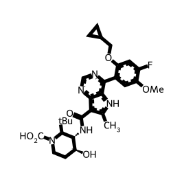 COc1cc(-c2ncnc3c(C(=O)N[C@H]4C(C(C)(C)C)N(C(=O)O)CC[C@@H]4O)c(C)[nH]c23)c(OCC2CC2)cc1F